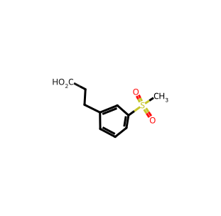 CS(=O)(=O)c1cccc(CCC(=O)O)c1